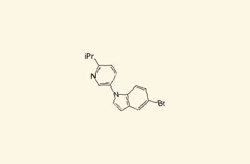 CC(C)c1ccc(-n2ccc3cc(Br)ccc32)cn1